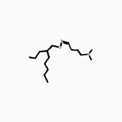 CCCCCC(CCC)CO/N=C\CCCN(C)C